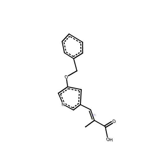 C/C(=C\c1cncc(OCc2ccccc2)c1)C(=O)O